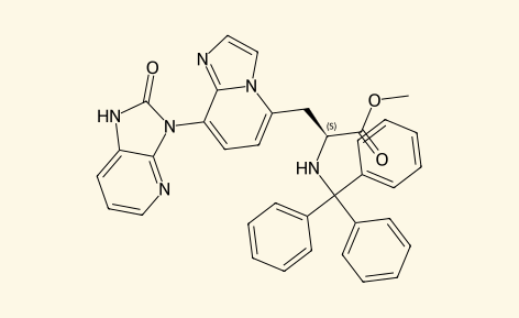 COC(=O)[C@H](Cc1ccc(-n2c(=O)[nH]c3cccnc32)c2nccn12)NC(c1ccccc1)(c1ccccc1)c1ccccc1